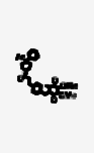 COC1=C(OC)C(=O)C(Cc2ccc(CCC(=O)N3CCC(C(C)=O)(c4ccccc4)CC3)cc2)=C(C)C1=O